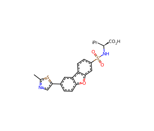 Cc1ncc(-c2ccc3oc4cc(S(=O)(=O)N[C@H](C(=O)O)C(C)C)ccc4c3c2)s1